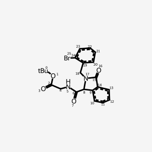 CC(C)(C)OC(=O)CNC(=O)C1c2ccccc2C(=O)N1Cc1ccccc1Br